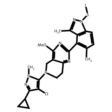 COc1nc(-c2c(C)ccc3c2c(C)nn3SI)nc2c1CN(c1c(Cl)c(C3CC3)nn1C)CC2